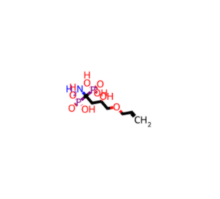 C=CCOCC(O)CC(N)(P(=O)(O)O)P(=O)(O)O